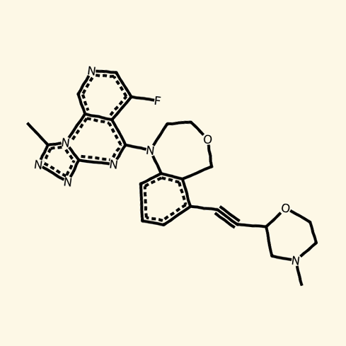 Cc1nnc2nc(N3CCOCc4c(C#CC5CN(C)CCO5)cccc43)c3c(F)cncc3n12